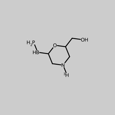 [3H]N1CC(BP)OC(CO)C1